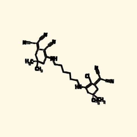 CC1(C)CC(NCCCCCCNC2=C(C#N)C(=C(C#N)C#N)CC(C)(C)C2)=C(Cl)C(=C(C#N)C#N)C1